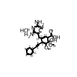 COC1=C(C#Cc2ccccc2)C(Cc2cnc(N)nc2N)=CC(C(=O)O)C1(O)OC.Cl